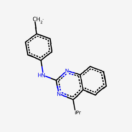 [CH2]c1ccc(Nc2nc(C(C)C)c3ccccc3n2)cc1